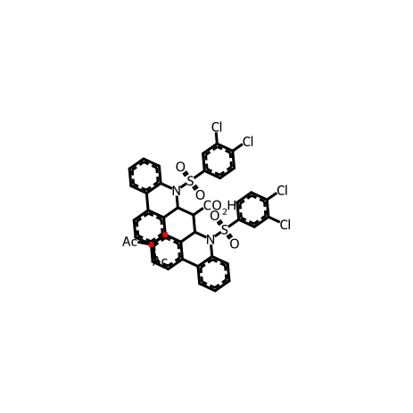 CC(=O)c1ccc2c(c1)C(C(C(=O)O)C1c3cc(C(C)=O)ccc3-c3ccccc3N1S(=O)(=O)c1ccc(Cl)c(Cl)c1)N(S(=O)(=O)c1ccc(Cl)c(Cl)c1)c1ccccc1-2